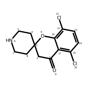 O=C1CC2(CCNCC2)Oc2c(Cl)ccc(Cl)c21